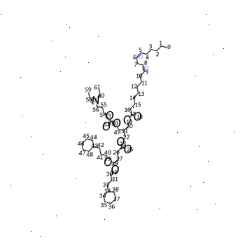 CCCCC/C=C\C/C=C\CCCCCCCC(=O)OCC(COC(=O)CCC(OCCCC1CCCCC1)OCCCC1CCCCC1)COC(=O)OCCCN(CC)CC